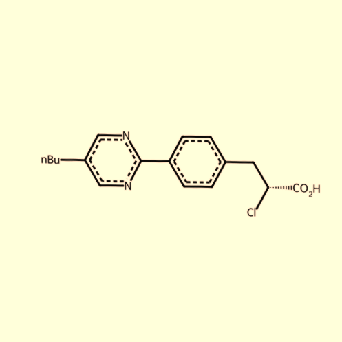 CCCCc1cnc(-c2ccc(C[C@@H](Cl)C(=O)O)cc2)nc1